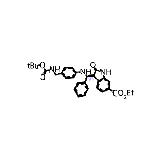 CCOC(=O)c1ccc2c(c1)NC(=O)/C2=C(\Nc1ccc(CNC(=O)OC(C)(C)C)cc1)c1ccccc1